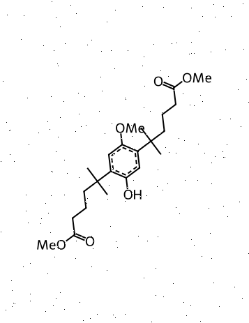 COC(=O)CCCC(C)(C)c1cc(OC)c(C(C)(C)CCCC(=O)OC)cc1O